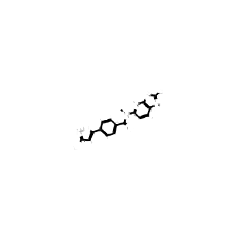 CN(C(=O)c1ccc(-c2cc(O)no2)cc1)c1ccc2nc(S)sc2n1